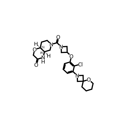 O=C1CO[C@H]2CCN(C(=O)N3CC(Oc4cccc(N5CC6(CCCCO6)C5)c4Cl)C3)C[C@H]2N1